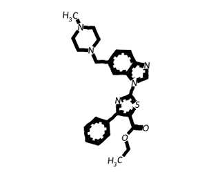 CCOC(=O)c1sc(-n2cnc3ccc(CN4CCN(C)CC4)cc32)nc1-c1ccccc1